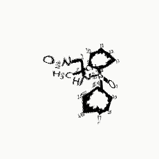 CC(C)(C[N+](=O)[O-])NP(=O)(c1ccccc1)c1ccccc1